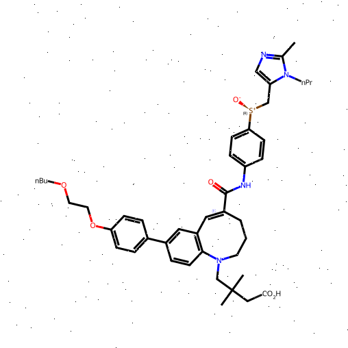 CCCCOCCOc1ccc(-c2ccc3c(c2)/C=C(/C(=O)Nc2ccc([S@@+]([O-])Cc4cnc(C)n4CCC)cc2)CCCN3CC(C)(C)CC(=O)O)cc1